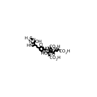 Cc1nc(O)c2c(CCc3ccc(C(=O)N[C@@H](CCC(=O)O)C(=O)C(C[C@H](N)C(=O)O)(C(=O)O)C(=O)[C@@H](N)CCC(=O)O)cc3Cl)c[nH]c2n1